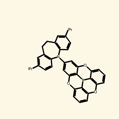 CC(C)c1ccc2c(c1)CCc1cc(C(C)C)ccc1N2c1cc2c3c(c1)Oc1cccc4c1B3c1c(cccc1O2)O4